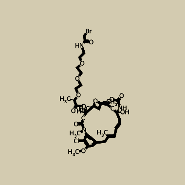 COc1cc2cc(c1Cl)N(C)C(=O)C[C@H](OC(=O)[C@H](C)OCCOCCOCCNC(=O)CBr)[C@@]1(C)CC(C)(O1)C1C[C@](O)(C/C=C/C=C(\C)C2)NC(=O)O1